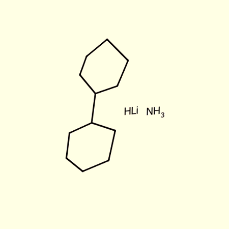 C1CCC(C2CCCCC2)CC1.N.[LiH]